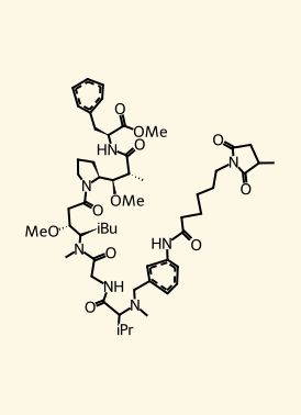 CC[C@H](C)C([C@@H](CC(=O)N1CCC[C@H]1[C@H](OC)[C@@H](C)C(=O)N[C@@H](Cc1ccccc1)C(=O)OC)OC)N(C)C(=O)CNC(=O)C(C(C)C)N(C)Cc1cccc(NC(=O)CCCCCN2C(=O)CC(C)C2=O)c1